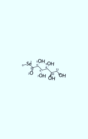 C[Se]C(=O)[C@H](O)[C@@H](O)[C@H](O)[C@H](O)CO